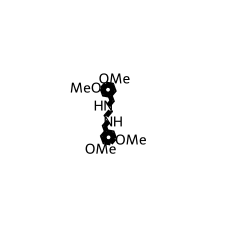 COc1ccc(CNCCNCc2ccc(OC)c(OC)c2)cc1OC